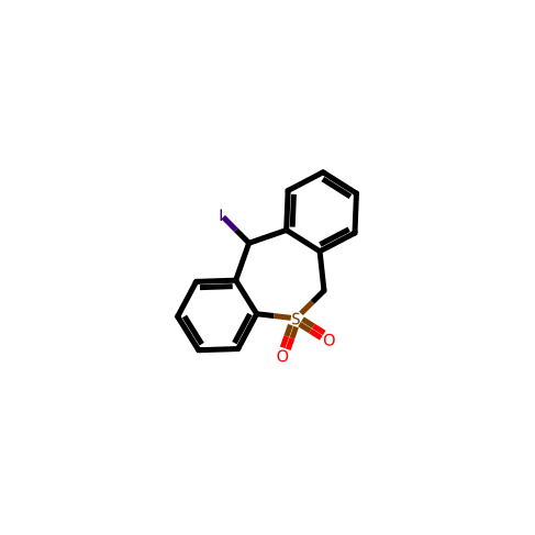 O=S1(=O)Cc2ccccc2C(I)c2ccccc21